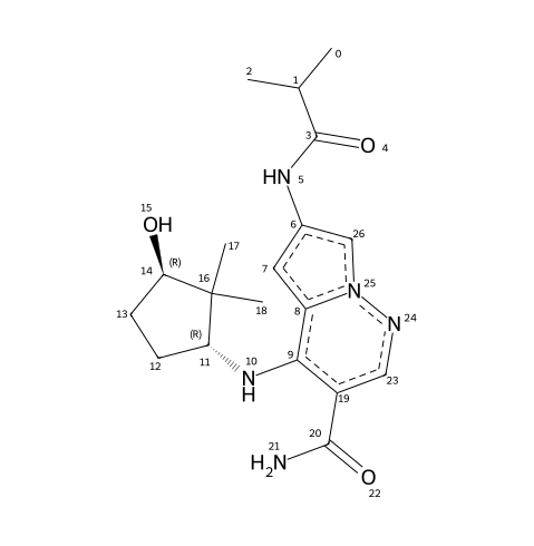 CC(C)C(=O)Nc1cc2c(N[C@@H]3CC[C@@H](O)C3(C)C)c(C(N)=O)cnn2c1